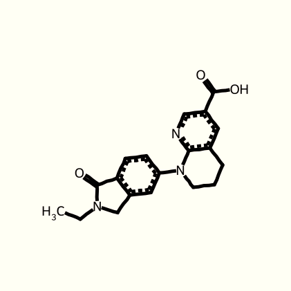 CCN1Cc2cc(N3CCCc4cc(C(=O)O)cnc43)ccc2C1=O